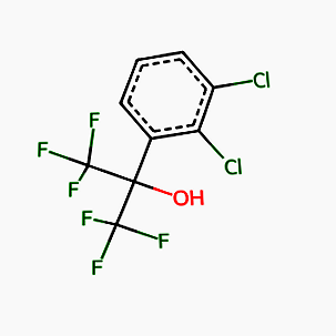 OC(c1cccc(Cl)c1Cl)(C(F)(F)F)C(F)(F)F